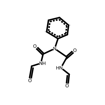 O=CNC(=O)N(C(=O)NC=O)c1[c]cc[c]c1